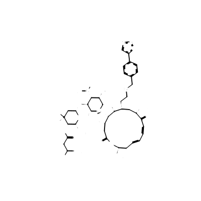 CO[C@@H]1[C@@H](O[C@@H]2O[C@H](C)[C@@H](O[C@H]3C[C@@](C)(O)[C@@H](OC(=O)CC(C)C)[C@H](C)O3)[C@H](N(C)C)[C@H]2O)[C@@H](CCNCc2ccc(-c3cnns3)cc2)C[C@@H](C)C(=O)/C=C\C=C\C[C@@H](C)OC(=O)C[C@@H]1O